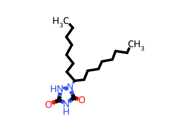 CCCCCCCCC(CCCCCCC)n1[nH]c(=O)[nH]c1=O